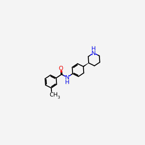 Cc1cccc(C(=O)NC2=CCC([C@@H]3CCCNC3)C=C2)c1